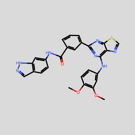 COc1ccc(Nc2nc(-c3cccc(C(=O)Nc4ccc5cn[nH]c5c4)c3)nc3scnc23)cc1OC